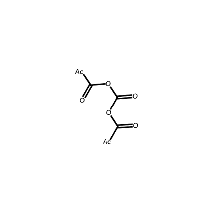 CC(=O)C(=O)OC(=O)OC(=O)C(C)=O